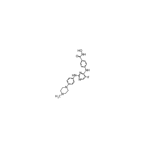 CN1CCN(c2ccc(Nc3ncc(F)c(Nc4ccc(C(=O)NO)cc4)n3)cc2)CC1